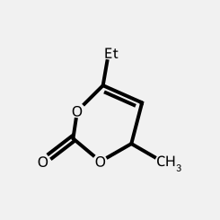 CCC1=CC(C)OC(=O)O1